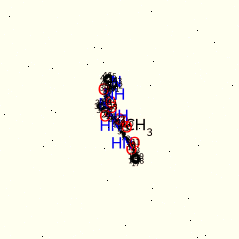 COC(=O)[C@H](CCCCNC(=O)OCc1ccccc1)NC(=O)CNC(=O)C(=O)[C@@H]1CCCN1C(=O)CNC(=O)c1ccnc2ccccc12